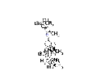 C=C1CC[C@H](O[Si](C)(C)C(C)(C)C)C/C1=C/C=C1CCC[C@@]2(C)C1CC[C@@H]2[C@H](C)CCC(O[Si](C)(C)C(C)(C)C)C(C)(C)O[Si](C)(C)C(C)(C)C